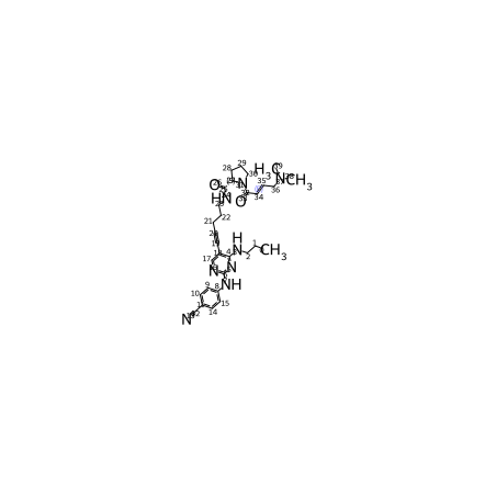 CCCNc1nc(Nc2ccc(C#N)cc2)ncc1C#CCCCNC(=O)[C@@H]1CCCN1C(=O)/C=C/CN(C)C